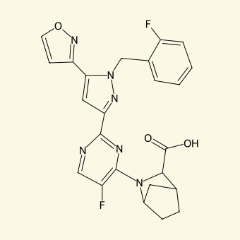 O=C(O)C1C2CCC(C2)N1c1nc(-c2cc(-c3ccon3)n(Cc3ccccc3F)n2)ncc1F